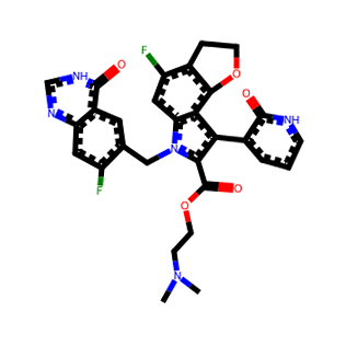 CN(C)CCOC(=O)c1c(-c2ccc[nH]c2=O)c2c3c(c(F)cc2n1Cc1cc2c(=O)[nH]cnc2cc1F)CCO3